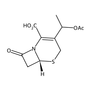 CC(=O)OC(C)C1=C(C(=O)O)N2C(=O)C[C@H]2SC1